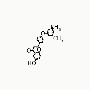 Cc1cc(C)cc(Oc2ccc(-c3cc(=O)c4cc(O)ccc4o3)cc2)c1